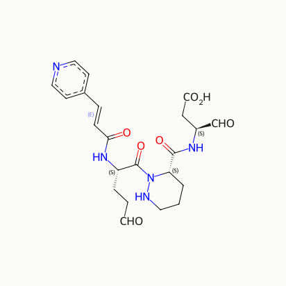 O=CCC[C@H](NC(=O)/C=C/c1ccncc1)C(=O)N1NCCC[C@H]1C(=O)N[C@H](C=O)CC(=O)O